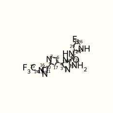 Nc1ncc(-c2ccnc(-c3cnn(CC(F)(F)F)c3)c2)nc1C(=O)NC1CNCC(F)C1